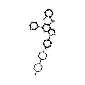 Cc1ccccc1Nc1nc(-c2cccnc2)nc2c1cnn2-c1ccc(N2CCC(N3CCN(C)CC3)CC2)cc1